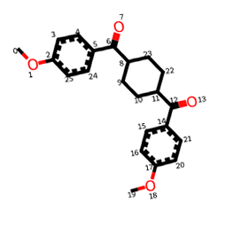 COc1ccc(C(=O)C2CCC(C(=O)c3ccc(OC)cc3)CC2)cc1